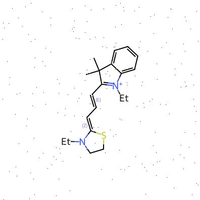 CCN1CCS/C1=C\C=C\C1=[N+](CC)c2ccccc2C1(C)C